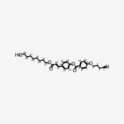 N#CCCCOc1ccc(C(=O)Oc2ccc(/C=C/C(=O)OCCCCCCCCO)cc2)cc1